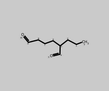 CCCC(C=O)CCCC=O